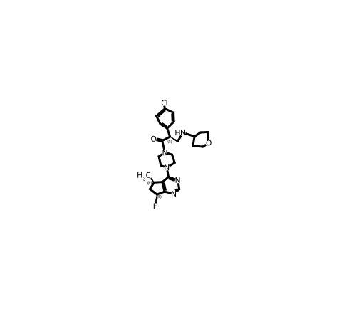 C[C@@H]1C[C@H](F)c2ncnc(N3CCN(C(=O)[C@H](CNC4CCOCC4)c4ccc(Cl)cc4)CC3)c21